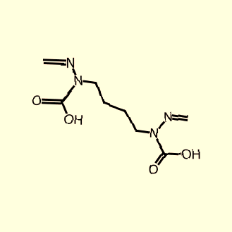 C=NN(CCCCN(N=C)C(=O)O)C(=O)O